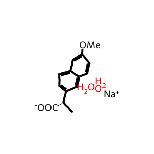 COc1ccc2cc([C@H](C)C(=O)[O-])ccc2c1.O.O.[Na+]